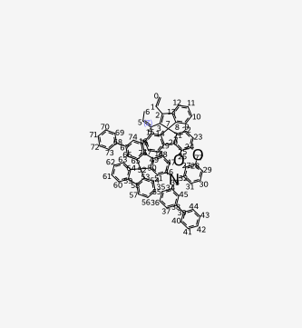 C=CC1=C(/C=C\C)C2(c3ccccc31)c1ccccc1-c1c2ccc2c1Oc1c(cccc1N(c1cccc(-c3ccccc3)c1)c1ccc3c(c1)C1(c4ccccc4-c4ccccc41)c1cc(-c4ccccc4)ccc1-3)O2